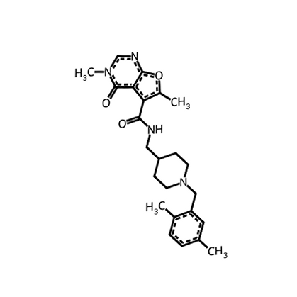 Cc1ccc(C)c(CN2CCC(CNC(=O)c3c(C)oc4ncn(C)c(=O)c34)CC2)c1